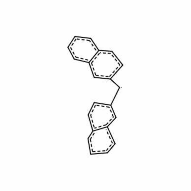 [CH](c1ccc2ccccc2c1)c1ccc2ccccc2c1